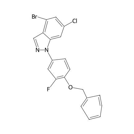 Fc1cc(-n2ncc3c(Br)cc(Cl)cc32)ccc1OCc1ccccc1